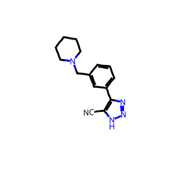 N#Cc1[nH]nnc1-c1cccc(CN2CCCCC2)c1